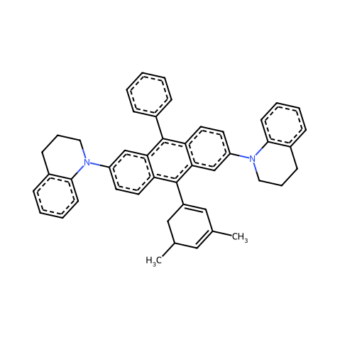 CC1=CC(C)CC(c2c3cc(N4CCCc5ccccc54)ccc3c(-c3ccccc3)c3cc(N4CCCc5ccccc54)ccc23)=C1